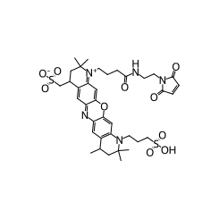 CC1CC(C)(C)N(CCCS(=O)(=O)O)c2cc3c(cc21)N=c1cc2c(cc1O3)=[N+](CCCC(=O)NCCN1C(=O)C=CC1=O)C(C)(C)CC2CS(=O)(=O)[O-]